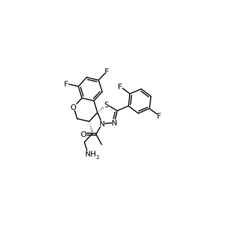 CC(=O)N1N=C(c2cc(F)ccc2F)S[C@]12c1cc(F)cc(F)c1OC[C@H]2CCN